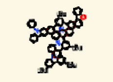 CC(C)(C)c1cc(-c2ccccc2)c(N(c2cccc(-c3ccc4oc5ccccc5c4c3)c2)c2cc(-c3ccc4c(c3)c3ccccc3n4-c3ccccc3)cc(N(c3cccc(-n4c5ccc(C(C)(C)C)cc5c5cc(C(C)(C)C)ccc54)c3)c3c(-c4ccccc4)cc(C(C)(C)C)cc3-c3ccccc3)c2)c(-c2ccccc2)c1